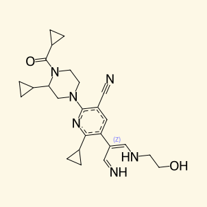 N#Cc1cc(/C(C=N)=C/NCCO)c(C2CC2)nc1N1CCN(C(=O)C2CC2)C(C2CC2)C1